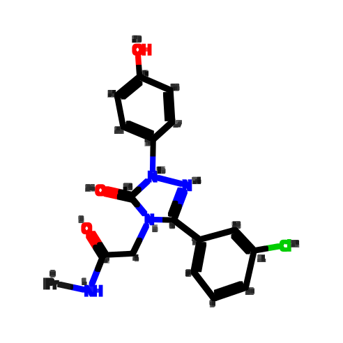 CC(C)NC(=O)Cn1c(-c2cccc(Cl)c2)nn(-c2ccc(O)cc2)c1=O